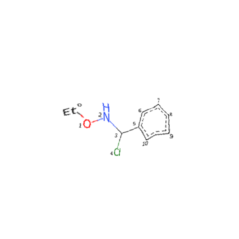 CCONC(Cl)c1ccccc1